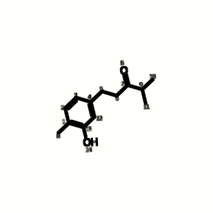 Cc1ccc(CCC(=O)C(C)C)cc1O